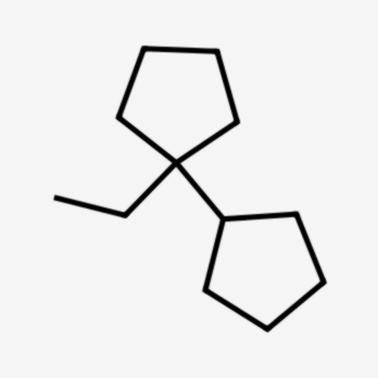 CCC1(C2CCCC2)CCCC1